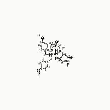 COc1ccc(CN(Cc2ccc(OC)cc2)C2N[C@](C)(c3cc(F)c(F)cc3F)CS(=O)(=O)N2C)cc1